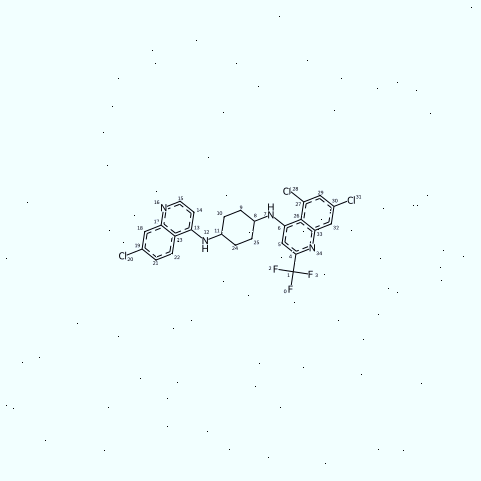 FC(F)(F)c1cc(NC2CCC(Nc3ccnc4cc(Cl)ccc34)CC2)c2c(Cl)cc(Cl)cc2n1